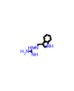 N=C(N)NN=Cc1c[nH]c2ccccc12